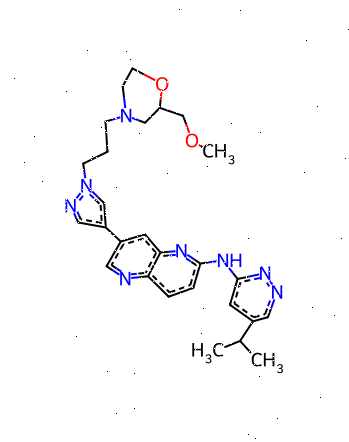 COCC1CN(CCCn2cc(-c3cnc4ccc(Nc5cc(C(C)C)cnn5)nc4c3)cn2)CCO1